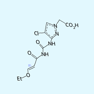 CCO/C=C/C(=O)NC(=O)Nc1nn(CC(=O)O)cc1Cl